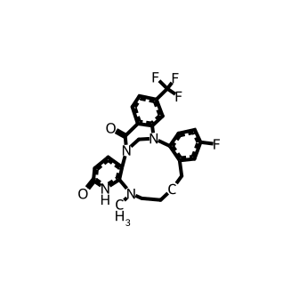 CN1CCCCc2cc(F)ccc2N2CN(C(=O)c3ccc(C(F)(F)F)cc32)c2ccc(=O)[nH]c21